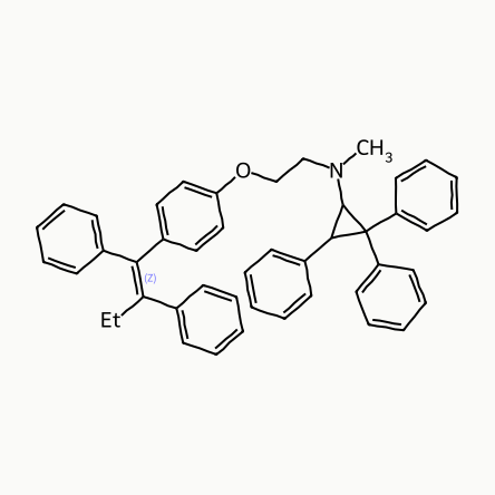 CC/C(=C(\c1ccccc1)c1ccc(OCCN(C)C2C(c3ccccc3)C2(c2ccccc2)c2ccccc2)cc1)c1ccccc1